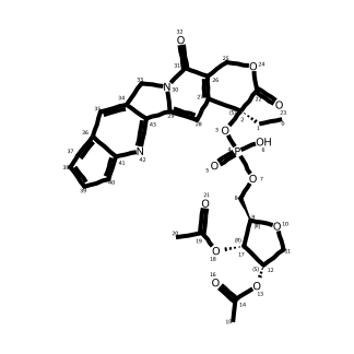 CC[C@@]1(OP(=O)(O)OC[C@H]2OC[C@H](OC(C)=O)[C@@H]2OC(C)=O)C(=O)OCc2c1cc1n(c2=O)Cc2cc3ccccc3nc2-1